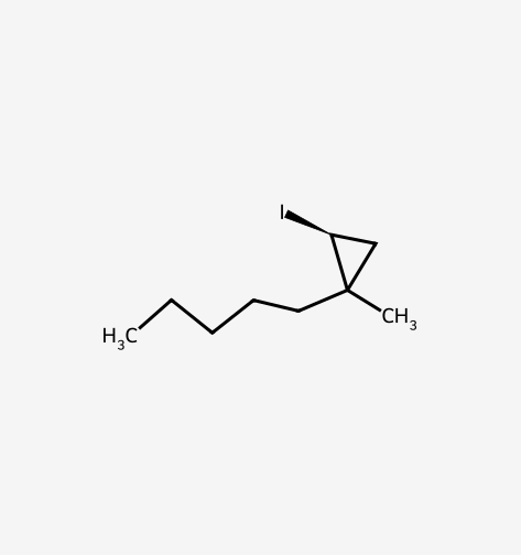 CCCCCC1(C)C[C@@H]1I